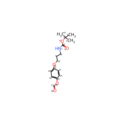 CC(C)(C)OC(=O)NCCCOc1ccc(OC=O)cc1